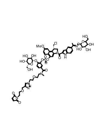 COc1ccc2c(OS(=O)(=O)Oc3cc(C(=O)N(C)CCOCCn4cc(COCCN5C(=O)C=CC5=O)nn4)ccc3O[C@@H]3O[C@H](CO)[C@H](O)[C@H](O)[C@H]3O)cc3c(c2c1)[C@H](CCl)CN3C(=O)c1cc2cc(/C(C)=N/OC3OC(CO)[C@H](O)[C@H](O)[C@H]3O)ccc2[nH]1